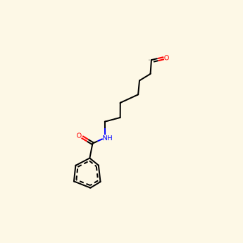 O=[C]CCCCCCNC(=O)c1ccccc1